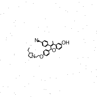 CC[C@@H]1CCN(CCOc2ccc(C3Oc4ccc(O)cc4C(C)=C3c3ccc(C#N)cc3)cc2)C1